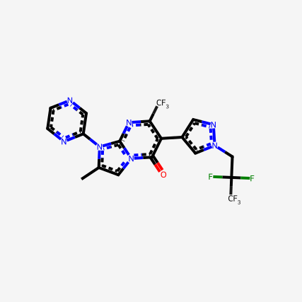 Cc1cn2c(=O)c(-c3cnn(CC(F)(F)C(F)(F)F)c3)c(C(F)(F)F)nc2n1-c1cnccn1